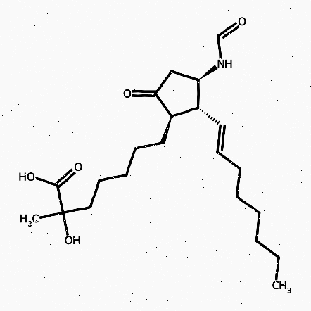 CCCCCCC=C[C@H]1[C@H](NC=O)CC(=O)[C@@H]1CCCCCC(C)(O)C(=O)O